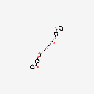 O=C(COc1ccc(C(=O)c2ccccc2)cc1)OCCCOCCOC(=O)COc1ccc(C(=O)c2ccccc2)cc1